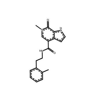 Cc1ccccc1CCNC(=O)c1cn(C)c(=O)c2[nH]ccc12